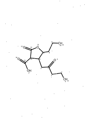 CCCC(=O)CC1C(CCC)OC(=O)C1C(=O)O